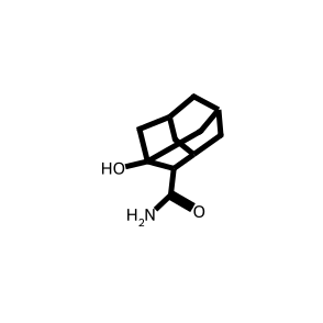 NC(=O)C1C2CC3CC(C2)CC1(O)C3